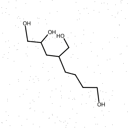 OCCCCC(CO)CC(O)CO